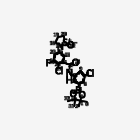 CC1(C)OB(c2cc(Cl)cc(NC(=O)c3cc(N4CCC[S+]4[O-])cc(F)c3Cl)c2)OC1(C)C